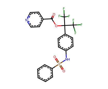 O=C(OC(c1ccc(NS(=O)(=O)c2ccccc2)cc1)(C(F)(F)F)C(F)(F)F)c1ccncc1